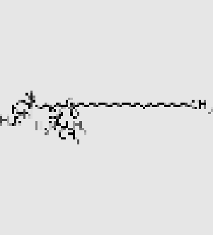 CCCCCCCCCCCCCCCCCCCCCC(=O)OCCC(CCn1cnc2cnc(N)nc21)OC(=O)[C@@H](N)C(C)C